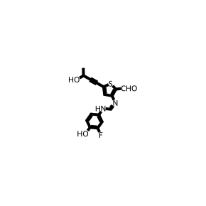 CC(O)C#Cc1cc(/N=C\Nc2ccc(O)c(F)c2)c(C=O)s1